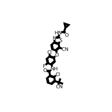 CC(C)(C#N)c1cccc(C(=O)Nc2cc(Oc3ccc4nc(NC(=O)C5CC5)sc4c3C#N)c(Cl)cc2F)c1Cl